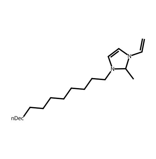 C=CN1C=CN(CCCCCCCCCCCCCCCCCC)C1C